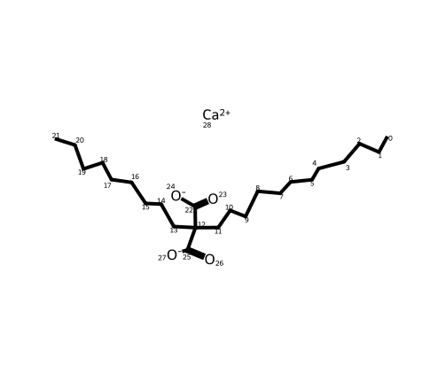 CCCCCCCCCCCCC(CCCCCCCCC)(C(=O)[O-])C(=O)[O-].[Ca+2]